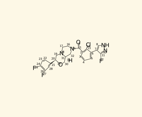 O=C(c1cccc(-c2c[nH]nc2F)c1Cl)N1CCN2C[C@H](c3ccc(F)c(F)c3)OC[C@@H]2C1